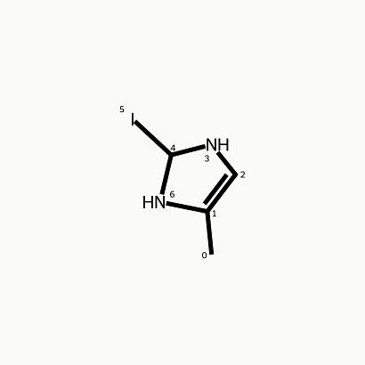 CC1=CNC(I)N1